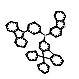 c1ccc(C2(c3ccccc3)c3ccccc3-c3cc(N(c4cccc(-n5c6ccccc6c6ccccc65)c4)c4ccc5sc6ccccc6c5c4)ccc32)cc1